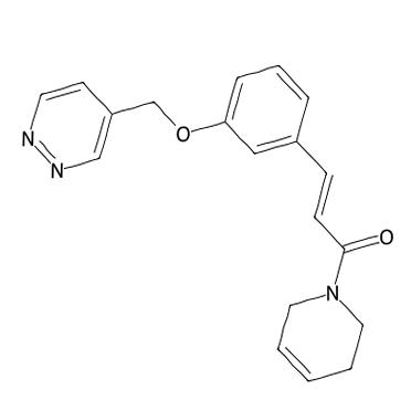 O=C(/C=C/c1cccc(OCc2ccnnc2)c1)N1CC=CCC1